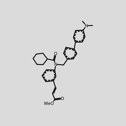 COC(=O)/C=C/c1cccc(N(Cc2ccc(-c3ccc(N(C)C)cc3)cc2)C(=O)C2CCCCC2)c1